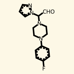 O=CC(N1CCN(c2ccc(F)cc2)CC1)n1cccn1